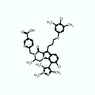 Cc1cc(OCCCc2c3n(c4c(-c5c(C)nn(C)c5C)c(Cl)ccc24)CC(C)N(Cc2ccc(C(=O)O)cn2)C3=O)cc(C)c1Cl